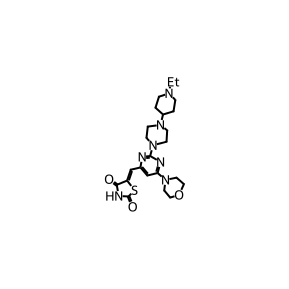 CCN1CCC(N2CCN(c3nc(/C=C4\SC(=O)NC4=O)cc(N4CCOCC4)n3)CC2)CC1